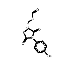 O=COC[C@H]1SC(=O)N(c2ccc(O)cc2)C1=O